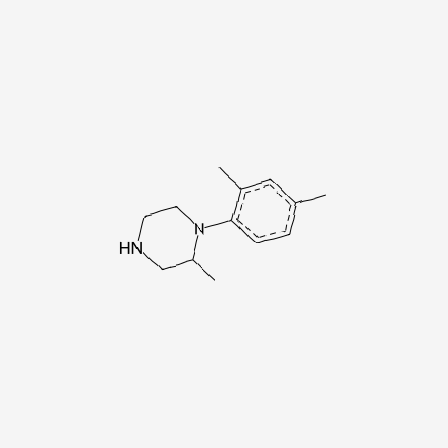 Cc1ccc(N2CCNCC2C)c(C)c1